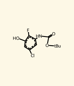 CC(C)(C)OC(=O)Nc1cc(Cl)cc(O)c1F